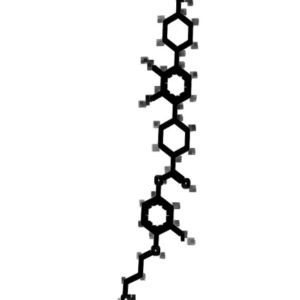 CCCCOc1ccc(OC(=O)C2CCC(c3ccc(C4CCC(C)CC4)c(F)c3F)CC2)cc1F